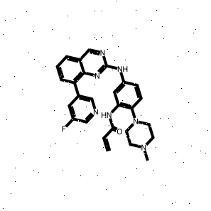 C=CC(=O)Nc1cc(Nc2ncc3cccc(-c4cncc(F)c4)c3n2)ccc1N1CCN(C)CC1